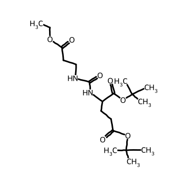 CCOC(=O)CCNC(=O)NC(CCC(=O)OC(C)(C)C)C(=O)OC(C)(C)C